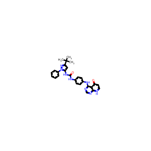 CC(C)(C)c1cc(NC(=O)Nc2ccc(Nc3ncnc4[nH]ccc(=O)c34)cc2)n(-c2ccccc2)n1